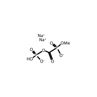 COP(=O)([O-])C(=O)OP(=O)([O-])O.[Na+].[Na+]